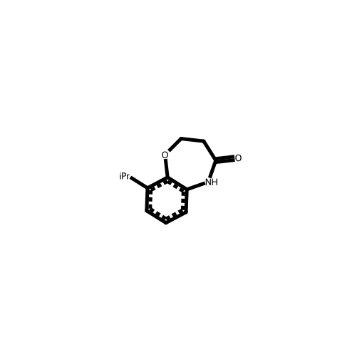 CC(C)c1cccc2c1OCCC(=O)N2